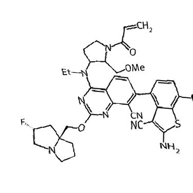 C=CC(=O)N1CCC(N(CC)c2nc(OC[C@@]34CCCN3C[C@H](F)C4)nc3c(C#N)c(-c4ccc(F)c5sc(N)c(C#N)c45)ccc23)C1COC